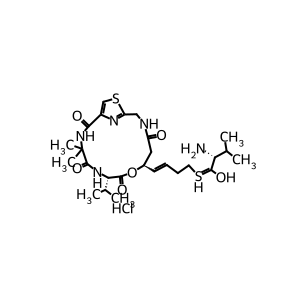 CC(C)[C@@H]1NC(=O)C(C)(C)NC(=O)c2csc(n2)CNC(=O)C[C@@H](/C=C/CC/[SH]=C(/O)[C@H](N)C(C)C)OC1=O.Cl